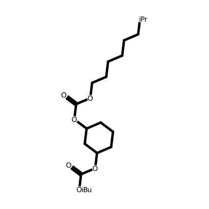 CC(C)CCCCCCOC(=O)OC1CCCC(OC(=O)OCC(C)C)C1